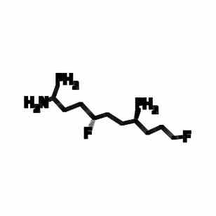 NC(P)CC[C@@H](F)CC[C@@H](P)CCCF